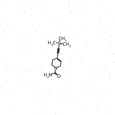 C[Si](C)(C)C#CC1=CCN(C(N)=O)CC1